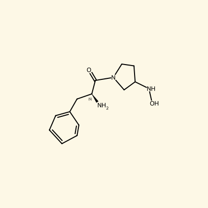 N[C@@H](Cc1ccccc1)C(=O)N1CCC(NO)C1